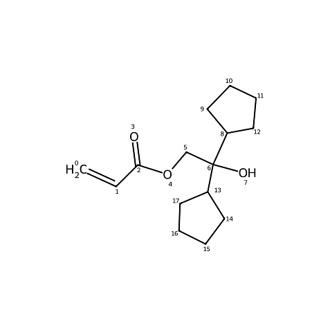 C=CC(=O)OCC(O)(C1CCCC1)C1CCCC1